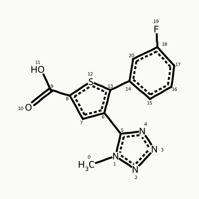 Cn1nnnc1-c1cc(C(=O)O)sc1-c1cccc(F)c1